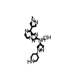 Cl.Cn1cc(-c2nccn3nc(Nc4cnn(C5CCNCC5)c4)nc23)cn1